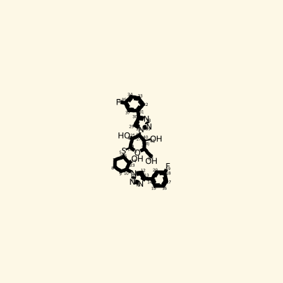 OCC1O[C@@H](S[C@@H]2CCCC(n3cc(-c4cccc(F)c4)nn3)C2O)C(O)[C@@H](n2cc(-c3cccc(F)c3)nn2)[C@H]1O